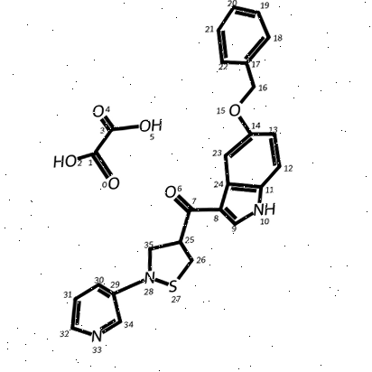 O=C(O)C(=O)O.O=C(c1c[nH]c2ccc(OCc3ccccc3)cc12)C1CSN(c2cccnc2)C1